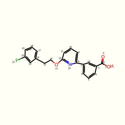 O=C(O)c1cccc(-c2cccc(OCCc3cccc(F)c3)n2)c1